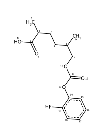 CC(CCC(C)C(=O)O)COC(=O)Oc1ccccc1F